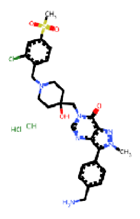 Cl.Cl.Cn1nc2c(=O)n(CC3(O)CCN(Cc4ccc(S(C)(=O)=O)cc4Cl)CC3)cnc2c1-c1ccc(CN)cc1